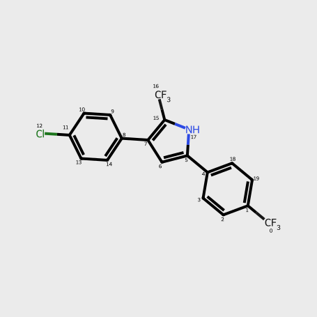 FC(F)(F)c1ccc(-c2cc(-c3ccc(Cl)cc3)c(C(F)(F)F)[nH]2)cc1